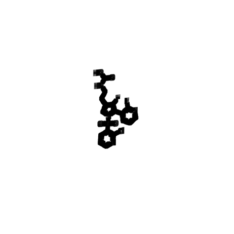 O=C(O)NCCc1cn(S(=O)(=O)c2cccnc2Cl)c(-c2cccnc2F)c1F